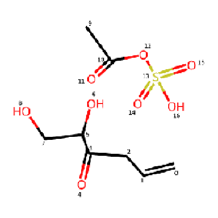 C=CCC(=O)C(O)CO.CC(=O)OS(=O)(=O)O